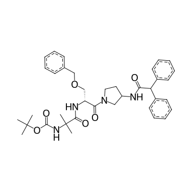 CC(C)(C)OC(=O)NC(C)(C)C(=O)N[C@H](COCc1ccccc1)C(=O)N1CCC(NC(=O)C(c2ccccc2)c2ccccc2)C1